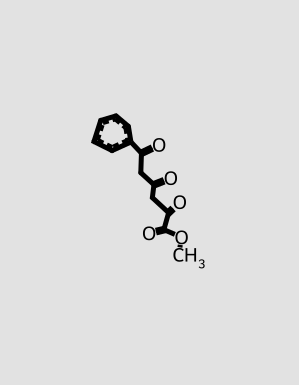 COC(=O)C(=O)CC(=O)CC(=O)c1ccccc1